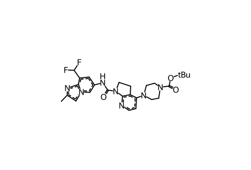 Cc1cn2cc(NC(=O)N3CCc4c(N5CCN(C(=O)OC(C)(C)C)CC5)ccnc43)cc(C(F)F)c2n1